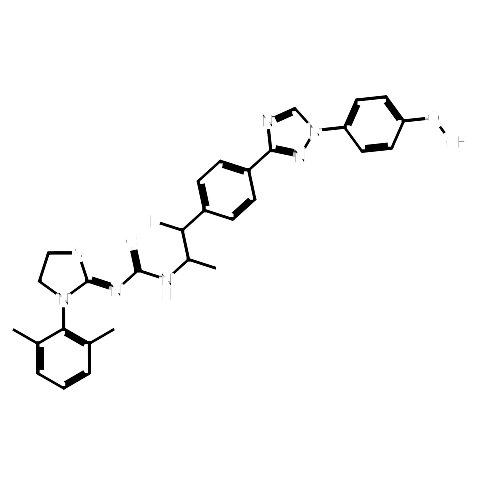 Cc1cccc(C)c1N1CCS/C1=N\C(=O)NC(C)C(F)c1ccc(-c2ncn(-c3ccc(OC(F)(F)F)cc3)n2)cc1